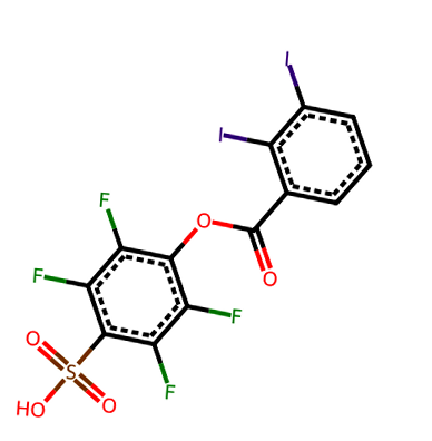 O=C(Oc1c(F)c(F)c(S(=O)(=O)O)c(F)c1F)c1cccc(I)c1I